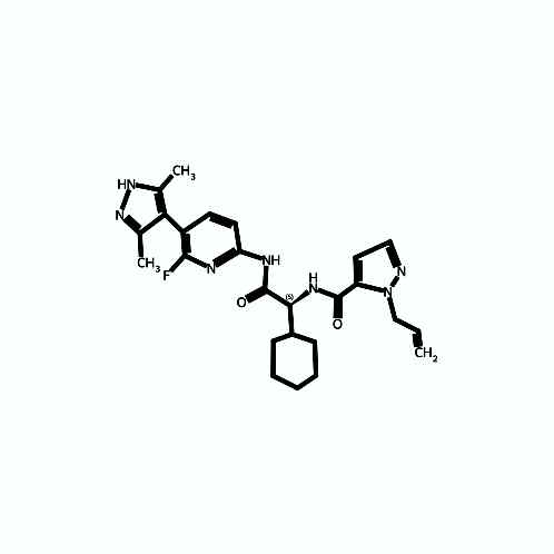 C=CCn1nccc1C(=O)N[C@H](C(=O)Nc1ccc(-c2c(C)n[nH]c2C)c(F)n1)C1CCCCC1